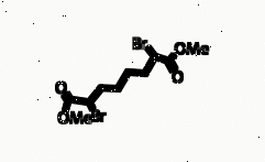 COC(=O)C(Br)CCCCC(Br)C(=O)OC